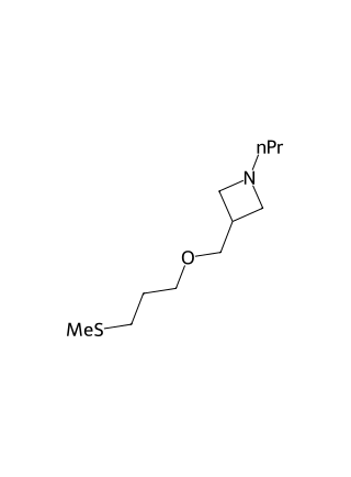 CCCN1CC(COCCCSC)C1